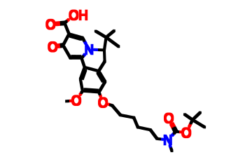 COc1cc2c(cc1OCCCCCCN(C)C(=O)OC(C)(C)C)CC(C(C)(C)C)n1cc(C(=O)O)c(=O)cc1-2